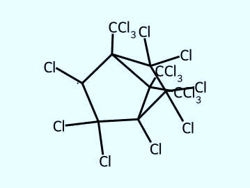 Cl[C]1C(Cl)(Cl)C2(Cl)C(Cl)(Cl)C(Cl)(Cl)C1(C(Cl)(Cl)Cl)C2(C(Cl)(Cl)Cl)C(Cl)(Cl)Cl